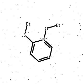 CCO[n+]1ccccc1SCC